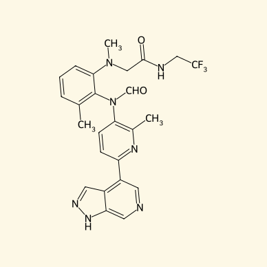 Cc1cccc(N(C)CC(=O)NCC(F)(F)F)c1N(C=O)c1ccc(-c2cncc3[nH]ncc23)nc1C